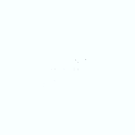 C#CCC(CC(=S)Oc1ccccc1)N(CC)[Si](C)(C)C